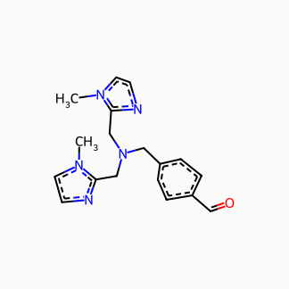 Cn1ccnc1CN(Cc1ccc(C=O)cc1)Cc1nccn1C